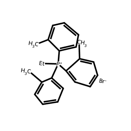 CC[P+](c1ccccc1C)(c1ccccc1C)c1ccccc1C.[Br-]